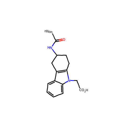 CCCCCCCCCC(=O)NC1CCc2c(c3ccccc3n2CC(=O)O)C1